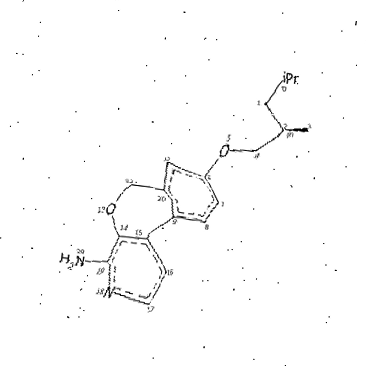 CC(C)C[C@@H](C)COc1ccc2c(c1)COc1c-2ccnc1N